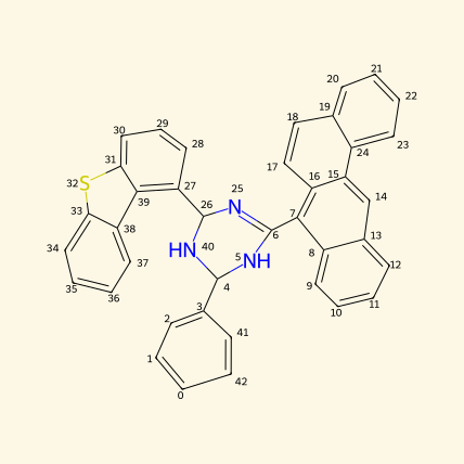 c1ccc(C2NC(c3c4ccccc4cc4c3ccc3ccccc34)=NC(c3cccc4sc5ccccc5c34)N2)cc1